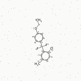 CCOc1ccc(C(F)(F)c2cc(C)ccc2Cl)cc1